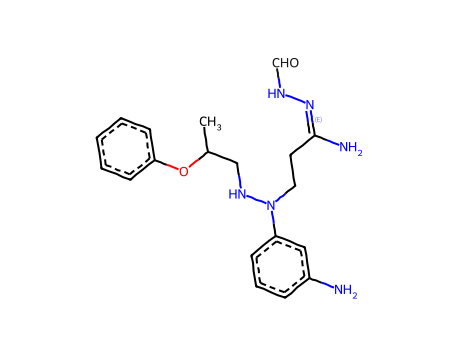 CC(CNN(CC/C(N)=N\NC=O)c1cccc(N)c1)Oc1ccccc1